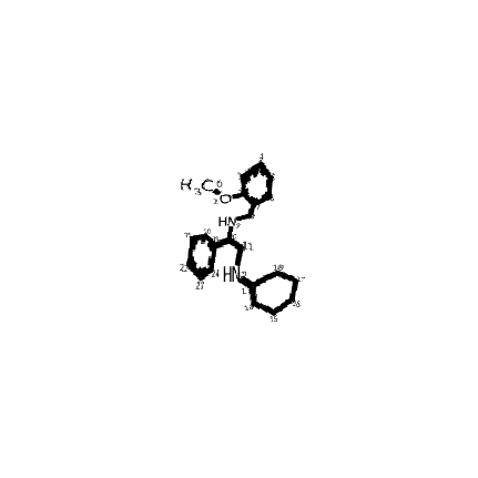 COc1ccccc1CNC(CNC1CCCCC1)c1ccccc1